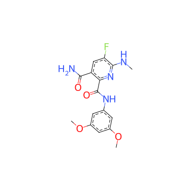 CNc1nc(C(=O)Nc2cc(OC)cc(OC)c2)c(C(N)=O)cc1F